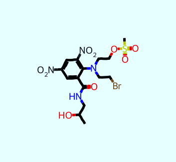 CC(O)CNC(=O)c1cc([N+](=O)[O-])cc([N+](=O)[O-])c1N(CCBr)CCOS(C)(=O)=O